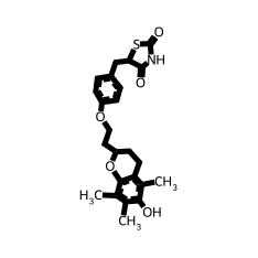 Cc1c(C)c2c(c(C)c1O)CCC(CCOc1ccc(CC3SC(=O)NC3=O)cc1)O2